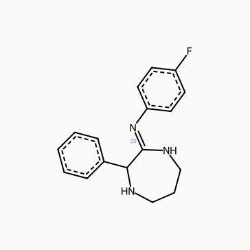 Fc1ccc(/N=C2\NCCCNC2c2ccccc2)cc1